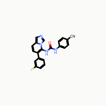 N#Cc1ccc(NC(=O)Nc2c(-c3cccc(F)c3)ccc3cncn23)cc1